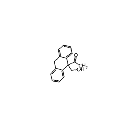 CC(=O)C1(CO)c2ccccc2Cc2ccccc21